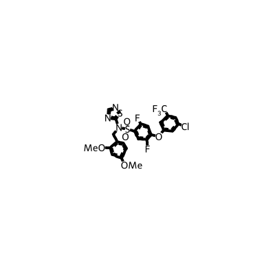 COc1ccc(CN(c2ncns2)S(=O)(=O)c2cc(F)c(Oc3cc(Cl)cc(C(F)(F)F)c3)cc2F)c(OC)c1